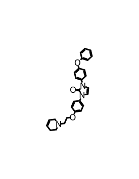 O=c1n(-c2ccc(OCCN3CC=CCC3)cc2)ccn1-c1ccc(Oc2ccccc2)cc1